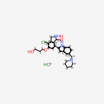 Cl.OCCCOc1cc(-c2cc3cc(CN4CCCCC4)ccc3[nH]2)c2c(c1Cl)CNC2O